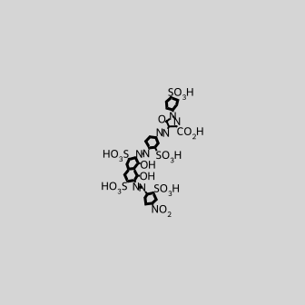 O=C(O)C1=NN(c2ccc(S(=O)(=O)O)cc2)C(=O)C1N=Nc1ccc(N=Nc2c(S(=O)(=O)O)cc3cc(S(=O)(=O)O)c(N=Nc4ccc([N+](=O)[O-])cc4S(=O)(=O)O)c(O)c3c2O)c(S(=O)(=O)O)c1